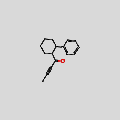 CC#CC(=O)C1CCCCC1c1ccccc1